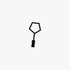 C#C[C]1CCCC1